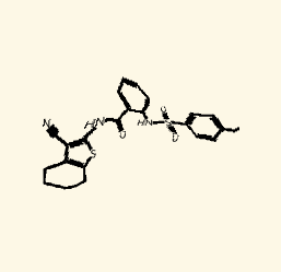 Cc1ccc(S(=O)(=O)Nc2ccccc2C(=O)Nc2sc3c(c2C#N)CCCC3)cc1